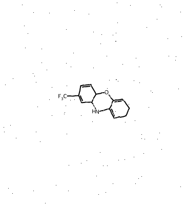 FC(F)(F)C1=CC2NC3=CCCC=C3OC2C=C1